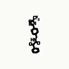 O=C(NCc1ccc(-c2noc(C(F)(F)F)n2)cc1)C(=O)c1ccccc1